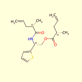 C=CC[C@H](C)C(=O)N[C@H](COC(=O)[C@@H](C)CC=C)c1cccs1